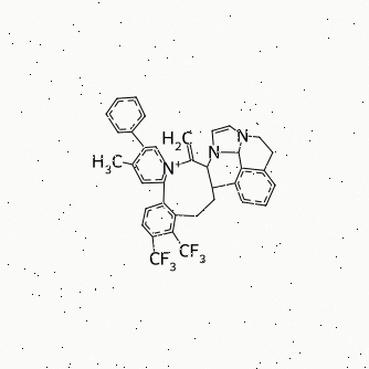 C=C1C2C(CCc3c(ccc(C(F)(F)F)c3C(F)(F)F)-c3cc(C)c(-c4ccccc4)c[n+]31)c1cccc3c1C1N(C=CN21)CC3